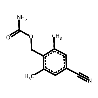 Cc1cc(C#N)cc(C)c1COC(N)=O